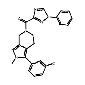 Cn1nc2c(c1-c1cccc(Cl)c1)CCN(C(=O)c1ncn(-c3ccccc3)n1)C2